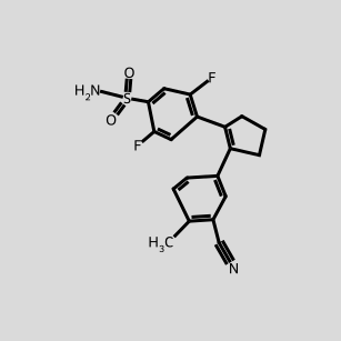 Cc1ccc(C2=C(c3cc(F)c(S(N)(=O)=O)cc3F)CCC2)cc1C#N